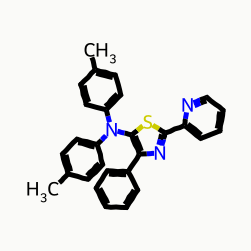 Cc1ccc(N(c2ccc(C)cc2)c2sc(-c3ccccn3)nc2-c2ccccc2)cc1